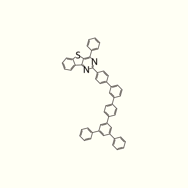 c1ccc(-c2cc(-c3ccccc3)cc(-c3ccc(-c4cccc(-c5ccc(-c6nc(-c7ccccc7)c7sc8ccccc8c7n6)cc5)c4)cc3)c2)cc1